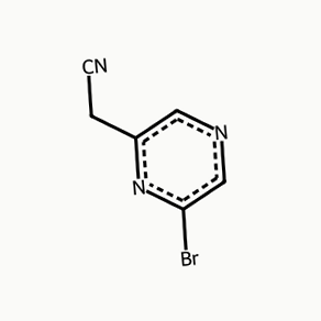 N#CCc1cncc(Br)n1